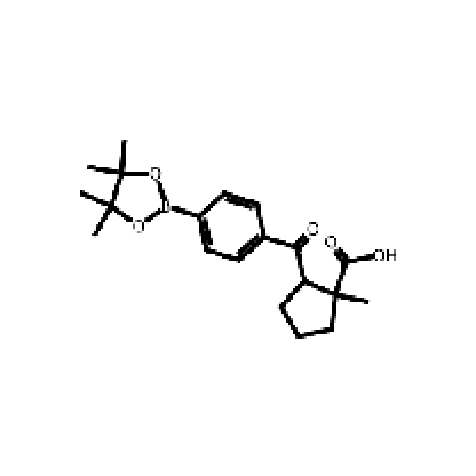 CC1(C(=O)O)CCCC1C(=O)c1ccc(B2OC(C)(C)C(C)(C)O2)cc1